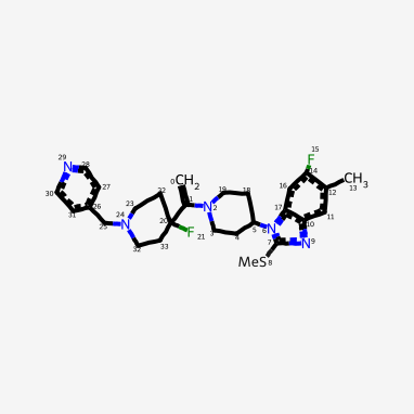 C=C(N1CCC(n2c(SC)nc3cc(C)c(F)cc32)CC1)C1(F)CCN(Cc2ccncc2)CC1